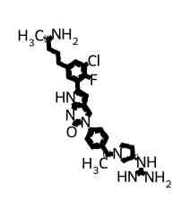 C[C@H](N)CCCc1cc(Cl)c(F)c(-c2cc3cn(-c4ccc([C@H](C)N5CC[C@@H](NC(=N)N)C5)cc4)c(=O)nc3[nH]2)c1